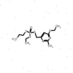 CCCSP(=O)(OCC)SCc1cc(OCC)nc(C)n1